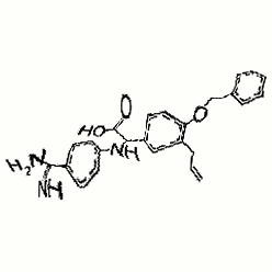 C=CCc1cc(C(Nc2ccc(C(=N)N)cc2)C(=O)O)ccc1OCc1ccccc1